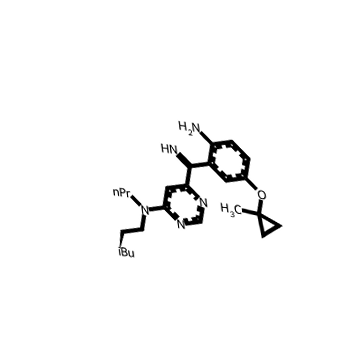 CCCN(CC[C@H](C)CC)c1cc(C(=N)c2cc(OC3(C)CC3)ccc2N)ncn1